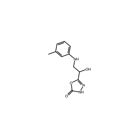 Cc1cccc(NCC(O)c2n[nH]c(=O)o2)c1